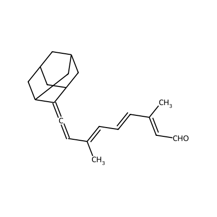 CC(C=C=C1C2CC3CC(C2)CC1C3)=CC=CC(C)=CC=O